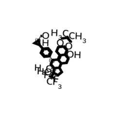 CC1(C)COC2(CCC3=C4C(CCC3(O)C2)C2CC[C@@](O)(C(F)(F)C(F)(F)F)[C@@]2(C)C[C@@H]4c2ccc(C3C[C@@H]3CO)cc2)OC1